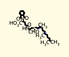 CC(C)=CCC/C(C)=C/CC/C(C)=C/CSCC(C=O)NC(=O)CCC(C(=O)O)N1C(=O)c2ccccc2C1=O